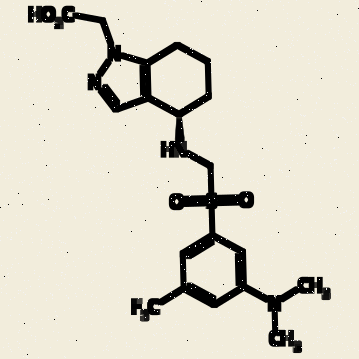 CN(C)c1cc(C(F)(F)F)cc(S(=O)(=O)CN[C@@H]2CCCc3c2cnn3CC(=O)O)c1